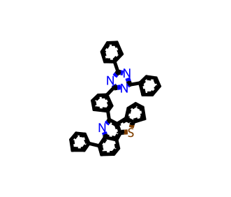 c1ccc(-c2nc(-c3ccccc3)nc(-c3cccc(-c4nc5c(-c6ccccc6)cccc5c5sc6ccccc6c45)c3)n2)cc1